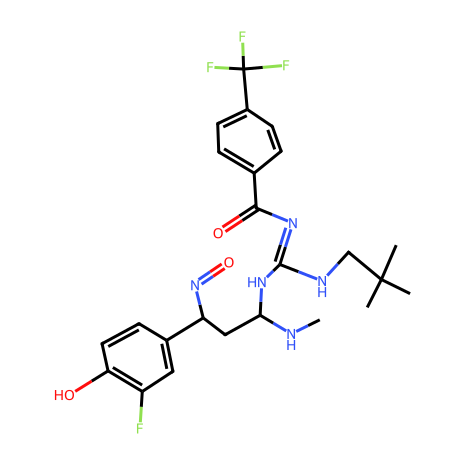 CNC(CC(N=O)c1ccc(O)c(F)c1)N/C(=N\C(=O)c1ccc(C(F)(F)F)cc1)NCC(C)(C)C